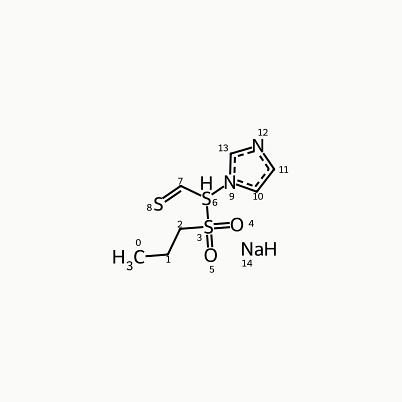 CCCS(=O)(=O)[SH](C=S)n1ccnc1.[NaH]